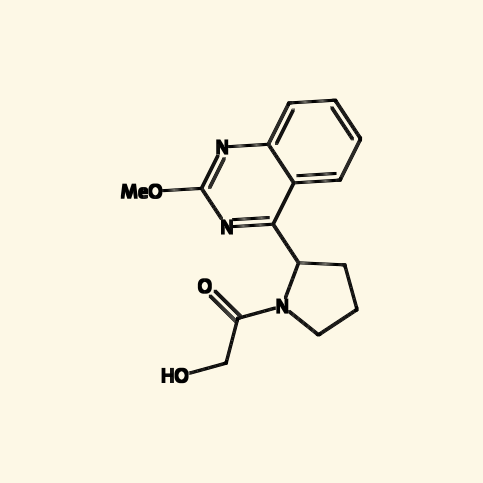 COc1nc(C2CCCN2C(=O)CO)c2ccccc2n1